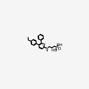 CCc1ccc(-c2ccc(N(C)CCCP(=O)(O)O)nc2-c2ccccc2)cc1